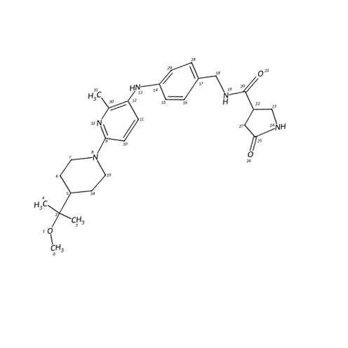 COC(C)(C)C1CCN(c2ccc(Nc3ccc(CNC(=O)C4CNC(=O)C4)cc3)c(C)n2)CC1